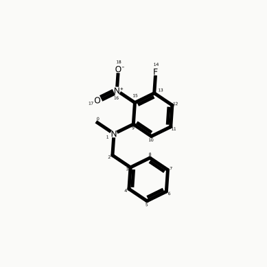 CN(Cc1ccccc1)c1cccc(F)c1[N+](=O)[O-]